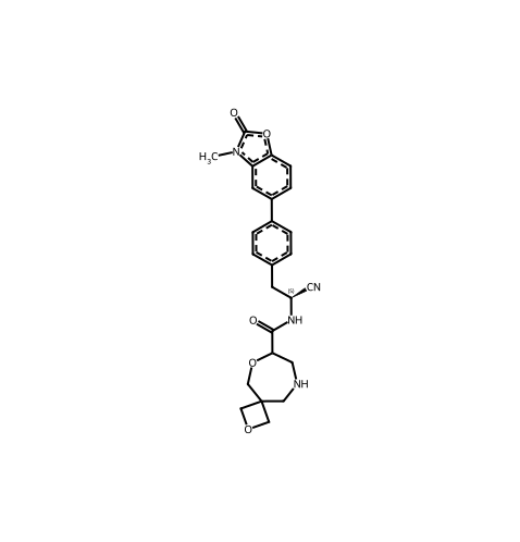 Cn1c(=O)oc2ccc(-c3ccc(C[C@@H](C#N)NC(=O)C4CNCC5(COC5)CO4)cc3)cc21